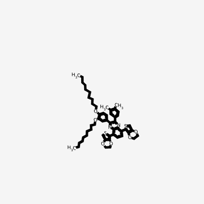 CCCCCCCCCCOc1ccc(-c2nc3c(-c4scc5c4OCCO5)ccc(-c4scc5c4OCCO5)c3nc2-c2ccc(C)c(C)c2)cc1OCCCCCCCCCC